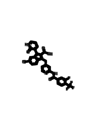 O=C(Nc1cc(Cn2c(C(=O)O)c(-c3ccc[nH]c3=O)c3cc(Cl)ccc32)ccn1)c1ccc(C(F)(F)F)c(F)c1